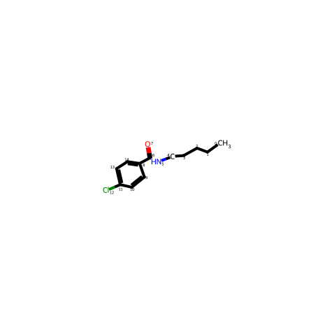 CCCCCNC(=O)c1ccc(Cl)cc1